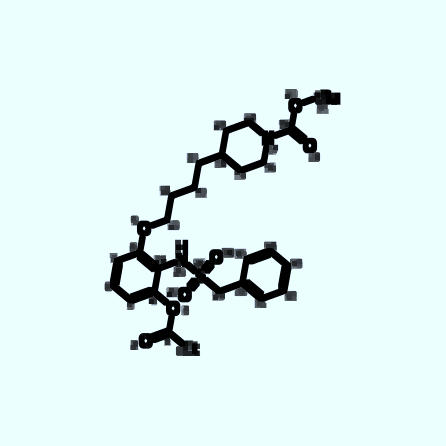 CCC(=O)Oc1cccc(OCCCCC2CCN(C(=O)OC(C)(C)C)CC2)c1NS(=O)(=O)Cc1ccccc1